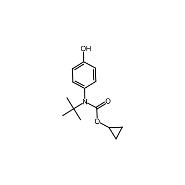 CC(C)(C)N(C(=O)OC1CC1)c1ccc(O)cc1